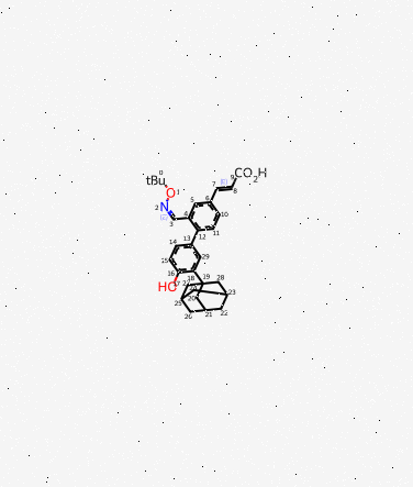 CC(C)(C)O/N=C\c1cc(/C=C/C(=O)O)ccc1-c1ccc(O)c(C23CC4CC(CC(C4)C2)C3)c1